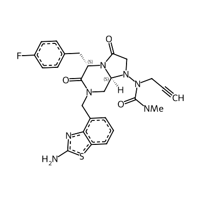 C#CCN(C(=O)NC)N1CC(=O)N2[C@@H](Cc3ccc(F)cc3)C(=O)N(Cc3cccc4sc(N)nc34)C[C@@H]21